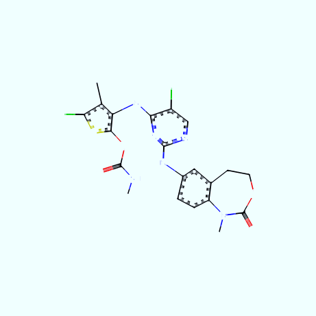 CNC(=O)Oc1sc(Cl)c(C)c1Nc1nc(Nc2ccc3c(c2)CCOC(=O)N3C)ncc1Cl